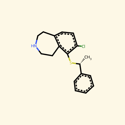 C[C@@H](Sc1c(Cl)ccc2c1CCNCC2)c1ccccc1